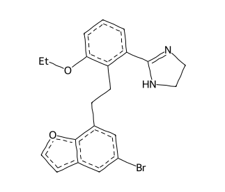 CCOc1cccc(C2=NCCN2)c1CCc1cc(Br)cc2ccoc12